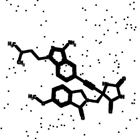 COc1ccc2c(c1)C(=O)N(C[C@@]1(C#Cc3ccc4c(c3)c(N)nn4CCN(C)C)NC(=O)NC1=O)C2